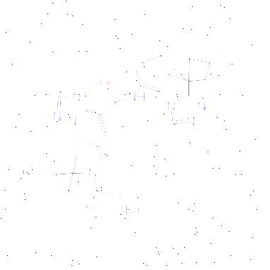 CC1CC(c2cccc(NC(=O)c3cc(CN(C(=O)OC(C)(C)C)C4(C)CC4)cn4ncnc34)c2)(c2nncn2C)C1